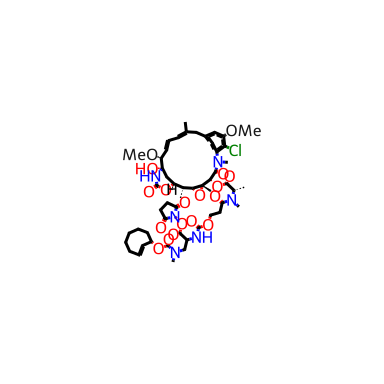 COc1cc2cc(c1Cl)N(C)C(=O)[C@H](OC(=O)[C@H](C)N(C)C(=O)CCOC(=O)NC(CN(C)C(=O)OC1/C=C/CCCCC1)C(=O)ON1C(=O)CCC1=O)[C@]1(C)OC1[C@H](C)[C@@H]1C[C@@](O)(NC(=O)O1)[C@H](OC)/C=C/C=C(\C)C2